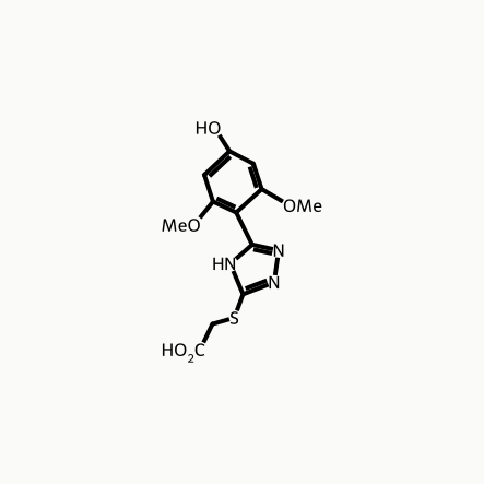 COc1cc(O)cc(OC)c1-c1nnc(SCC(=O)O)[nH]1